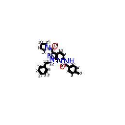 Cc1ccc(C(=O)Nc2ccc3c(C(=O)N4CCCC4)nn(CCc4ccccc4)c3n2)cc1